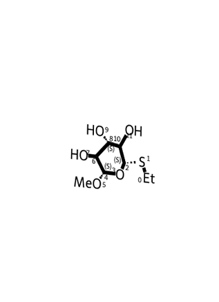 CCS[C@@H]1O[C@H](OC)C(O)[C@H](O)C1O